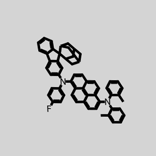 Cc1ccccc1N(c1ccccc1C)c1ccc2ccc3c(N(c4ccc(F)cc4)c4ccc5c(c4)C4(c6ccccc6-5)C5CC6CC(C5)CC4C6)ccc4ccc1c2c43